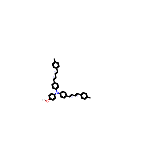 CCOc1ccc(N(c2ccc(/C=C/C=C/c3ccc(C)cc3)cc2)c2ccc(/C=C/C=C/c3ccc(C)cc3)cc2)cc1